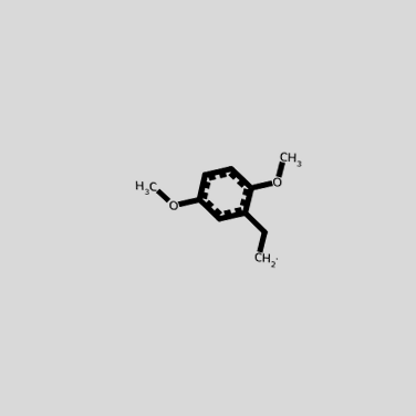 [CH2]Cc1cc(OC)ccc1OC